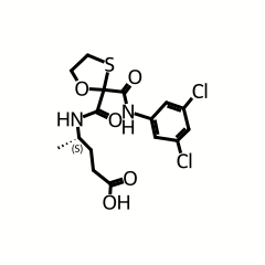 C[C@@H](CCC(=O)O)NC(=O)C1(C(=O)Nc2cc(Cl)cc(Cl)c2)OCCS1